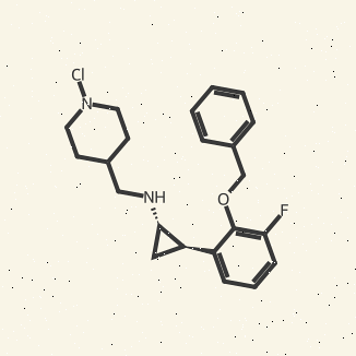 Fc1cccc([C@H]2C[C@@H]2NCC2CCN(Cl)CC2)c1OCc1ccccc1